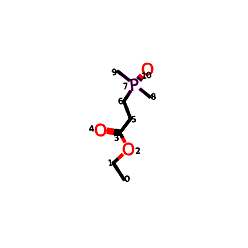 CCOC(=O)CCP(C)(C)=O